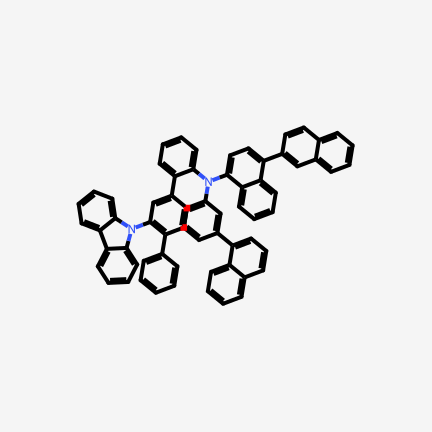 c1ccc(-c2ccc(-c3ccccc3N(c3cccc(-c4cccc5ccccc45)c3)c3ccc(-c4ccc5ccccc5c4)c4ccccc34)cc2-n2c3ccccc3c3ccccc32)cc1